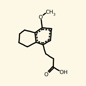 COc1ccc(CCC(=O)O)c2c1CCCC2